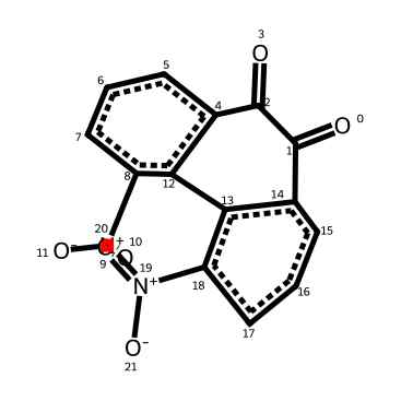 O=C1C(=O)c2cccc([N+](=O)[O-])c2-c2c1cccc2[N+](=O)[O-]